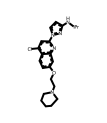 CC(C)Nc1ccn(-c2cc(Cl)c3ccc(OCCN4CCCCC4)cc3n2)n1